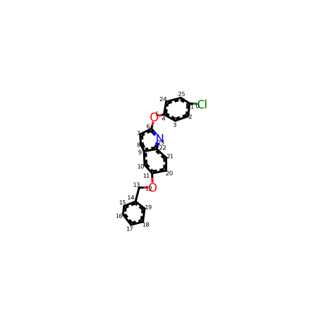 Clc1ccc(Oc2ccc3cc(OCc4ccccc4)ccc3n2)cc1